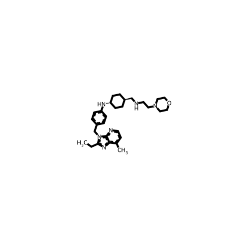 CCc1nc2c(C)ccnc2n1Cc1ccc(N[C@H]2CC[C@H](CNCCN3CCOCC3)CC2)cc1